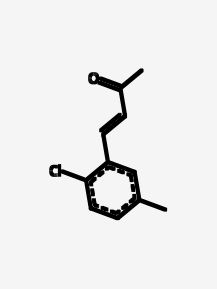 CC(=O)C=Cc1cc(C)ccc1Cl